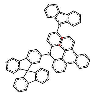 c1ccc2c(c1)-c1ccccc1C21c2ccccc2-c2ccc(N(c3ccc(-n4c5ccccc5c5ccccc54)cc3)c3cccc4c5ccccc5c5ccccc5c34)cc21